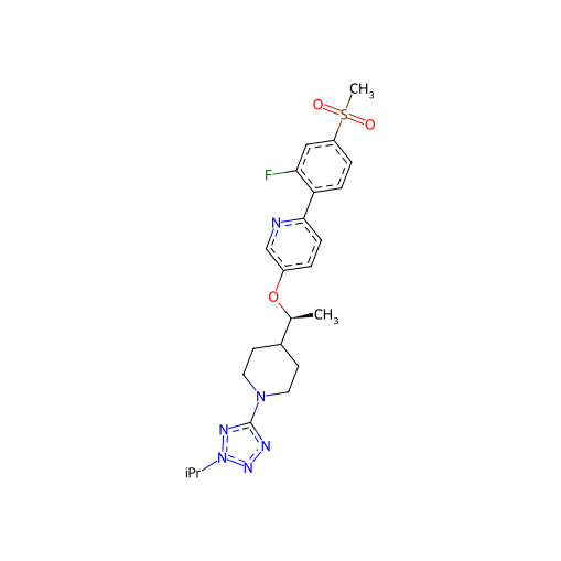 CC(C)n1nnc(N2CCC([C@H](C)Oc3ccc(-c4ccc(S(C)(=O)=O)cc4F)nc3)CC2)n1